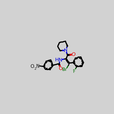 O=C(NC(C(=O)N1CCCCC1)=C(Br)c1ccccc1F)c1ccc([N+](=O)[O-])cc1